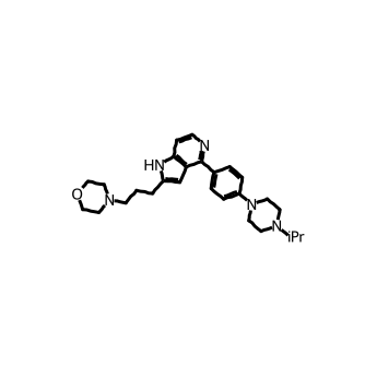 CC(C)N1CCN(c2ccc(-c3nccc4[nH]c(CCCN5CCOCC5)cc34)cc2)CC1